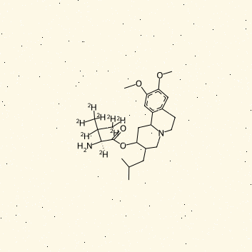 [2H]C([2H])([2H])C([2H])(C([2H])([2H])[2H])[C@]([2H])(N)C(=O)OC1CC2c3cc(OC)c(OC)cc3CCN2CC1CC(C)C